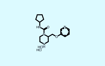 Cl.Cl.O=C(NC1CCCC1)N1CCNCC1COc1cccnc1